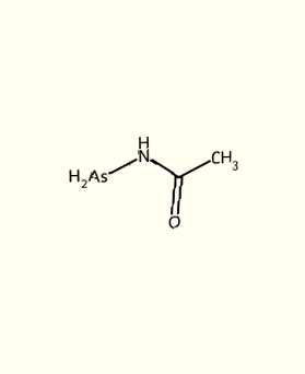 CC(=O)N[AsH2]